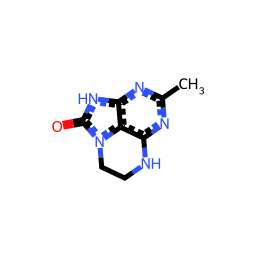 Cc1nc2c3c(n1)[nH]c(=O)n3CCN2